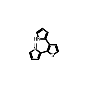 c1c[nH]c(-c2ccsc2-c2ccc[nH]2)c1